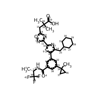 C[C@H](NC(=O)c1cc(-c2sc(-c3noc(CC(C)(C)C(=O)O)n3)nc2CC2CCCCC2)cc(C2(C)CC2)c1)C(F)(F)F